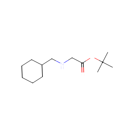 CC(C)(C)OC(=O)CNCC1CCCCC1